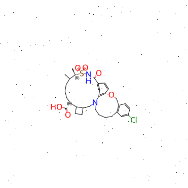 CC1CCC[C@@H](C(=O)O)C2CCC2CN2CCCCc3cc(Cl)ccc3COc3ccc(cc32)C(=O)NS(=O)(=O)[C@@H]1C